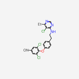 CCc1ncnc(NCCc2ccc(Oc3c(Cl)cc(N=O)cc3Cl)cc2)c1Cl